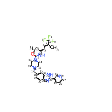 C/C(=C\C=C(/C)C(F)(F)F)NC(=O)N1CCN(Cc2ccc3nc(-c4cccnc4)[nH]c3c2)CC1